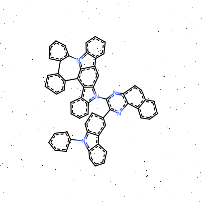 c1ccc(-n2c3ccccc3c3cc(-c4nc5c(ccc6ccccc65)nc4-n4c5ccccc5c5c6c7c(cc54)c4ccccc4n7-c4ccccc4-c4ccccc4-6)ccc32)cc1